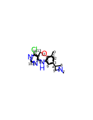 Cc1cc(C2CN(C)C2)cc2c1OCc1c(Cl)ncnc1N2